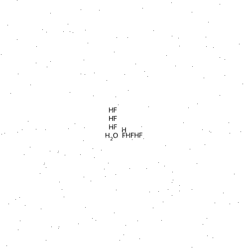 F.F.F.F.F.F.O